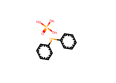 O=P(O)(O)O.c1ccc(Pc2ccccc2)cc1